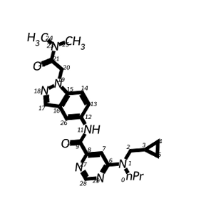 CCCN(CC1CC1)c1cc(C(=O)Nc2ccc3c(cnn3CC(=O)N(C)C)c2)ncn1